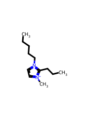 CCCCCn1cc[n+](C)c1CCC